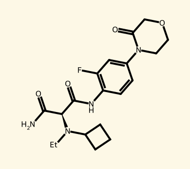 CCN(C1CCC1)[C@@H](C(N)=O)C(=O)Nc1ccc(N2CCOCC2=O)cc1F